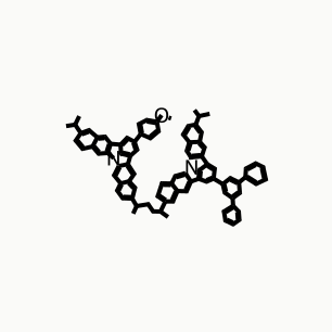 COc1ccc(-c2cc3c4cc5cc(C(C)C)ccc5cc4n4c5cc6ccc(C(C)CCC(C)c7ccc8cc9c(cc8c7)c7cc(-c8cc(-c%10ccccc%10)cc(-c%10ccccc%10)c8)cc8c%10cc%11cc(C(C)C)ccc%11cc%10n9c87)cc6cc5c(c2)c34)cc1